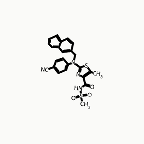 Cc1sc(N(Cc2ccc3ccccc3c2)c2ccc(C#N)cc2)nc1C(=O)NS(C)(=O)=O